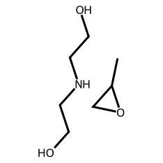 CC1CO1.OCCNCCO